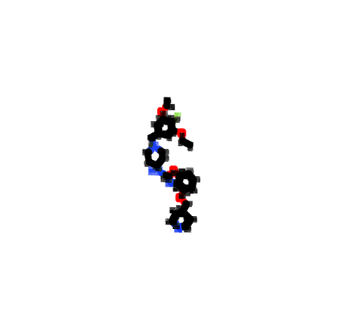 CCOc1cc(CN2CCC(Nc3nc4c(OCc5ccncc5)cccc4o3)CC2)cc(OCC)c1F